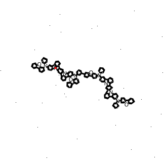 c1ccc(N(c2ccc3c(c2)oc2ccccc23)c2ccc3c(c2)c2cccc4c5cc6c(cc5n3c24)c2cccc3c4cc(N(c5ccccc5)c5ccc7c(c5)oc5cc(-c8cccc(N(c9ccc%10c(c9)c9cccc%11c%12cc%13c(cc%12n%10c9%11)c9cccc%10c%11cc(N(c%12ccccc%12)c%12cccc%14c%12oc%12ccccc%12%14)ccc%11n%13c%109)c9cccc%10c9oc9ccccc9%10)c8)ccc57)ccc4n6c32)cc1